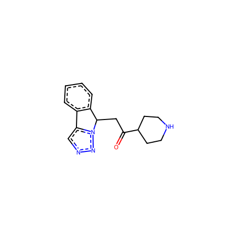 O=C(CC1c2ccccc2-c2cnnn21)C1CCNCC1